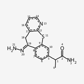 CC(C(N)=O)c1ccc2c(c1)Sc1ncccc1CC2=NN